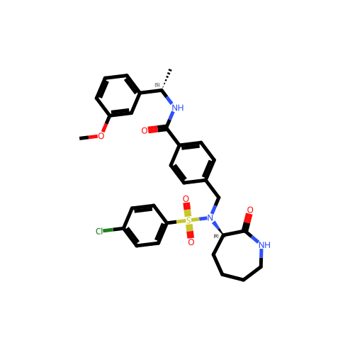 COc1cccc([C@H](C)NC(=O)c2ccc(CN([C@@H]3CCCCNC3=O)S(=O)(=O)c3ccc(Cl)cc3)cc2)c1